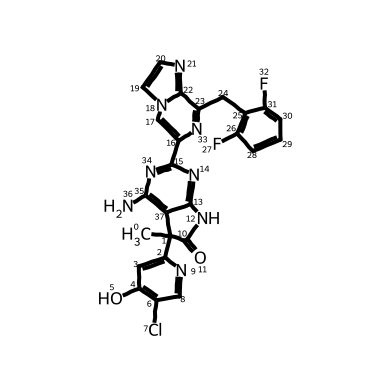 CC1(c2cc(O)c(Cl)cn2)C(=O)Nc2nc(-c3cn4ccnc4c(Cc4c(F)cccc4F)n3)nc(N)c21